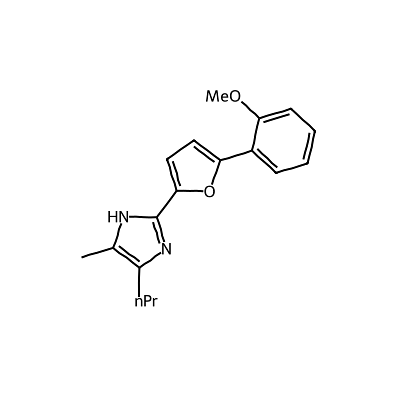 CCCc1nc(-c2ccc(-c3ccccc3OC)o2)[nH]c1C